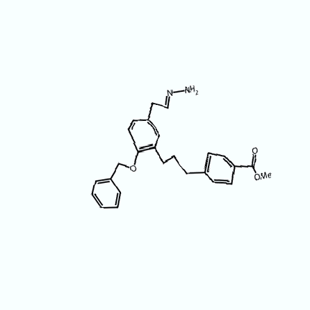 COC(=O)c1ccc(CCCc2cc(CC=NN)ccc2OCc2ccccc2)cc1